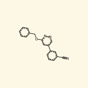 N#Cc1cccc(-c2cnnc(OCc3ccccc3)c2)c1